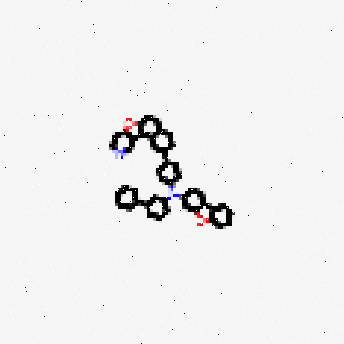 c1ccc(-c2cccc(N(c3ccc(-c4ccc5ccc6oc7ccncc7c6c5c4)cc3)c3ccc4c(c3)oc3ccccc34)c2)cc1